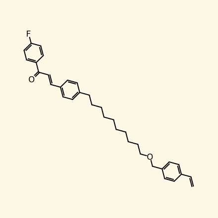 C=Cc1ccc(COCCCCCCCCCCc2ccc(C=CC(=O)c3ccc(F)cc3)cc2)cc1